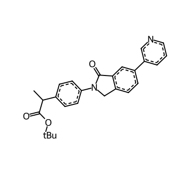 CC(C(=O)OC(C)(C)C)c1ccc(N2Cc3ccc(-c4cccnc4)cc3C2=O)cc1